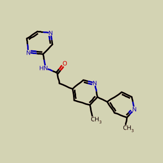 Cc1cc(-c2ncc(CC(=O)Nc3cnccn3)cc2C)ccn1